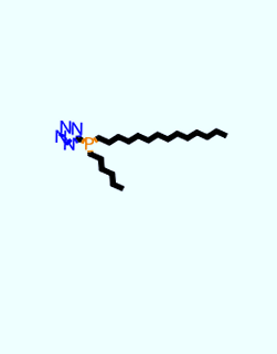 CCCCCCCCCCCCCCP(CCCCCC)C1N=NN=N1